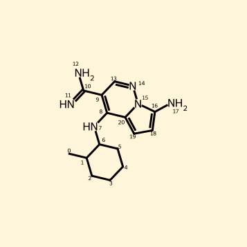 CC1CCCCC1Nc1c(C(=N)N)cnn2c(N)ccc12